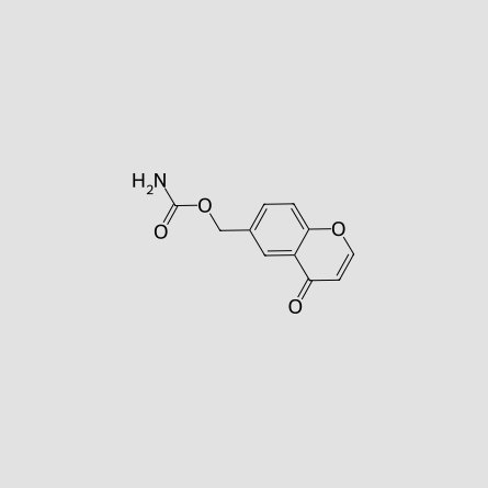 NC(=O)OCc1ccc2occc(=O)c2c1